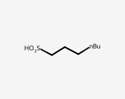 C[CH]CCCCCS(=O)(=O)O